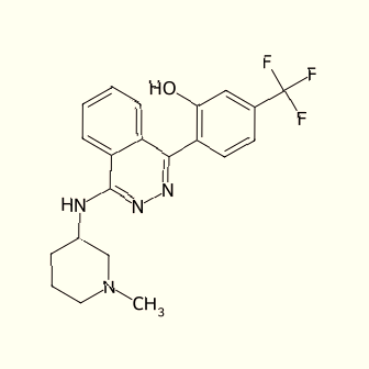 CN1CCCC(Nc2nnc(-c3ccc(C(F)(F)F)cc3O)c3ccccc23)C1